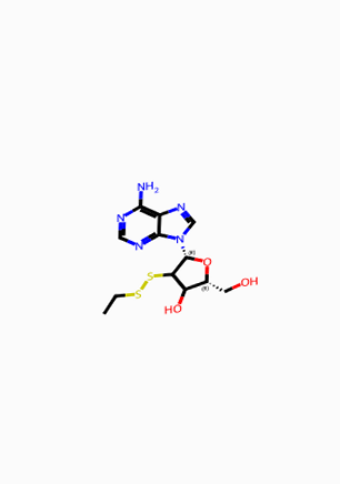 CCSSC1C(O)[C@@H](CO)O[C@H]1n1cnc2c(N)ncnc21